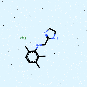 Cc1ccc(C)c(NCC2=NCCN2)c1C.Cl